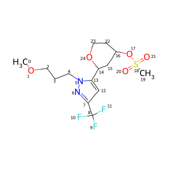 COCCCn1nc(C(F)(F)F)cc1C1CC(OS(C)(=O)=O)CCO1